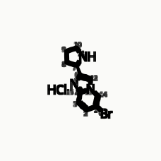 Brc1ccc2nc([C@H]3CCCN3)cn2c1.Cl